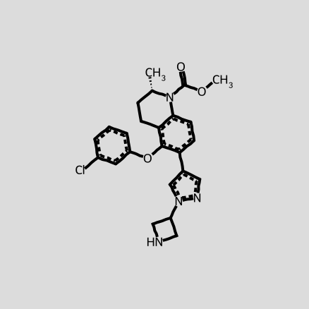 COC(=O)N1c2ccc(-c3cnn(C4CNC4)c3)c(Oc3cccc(Cl)c3)c2CC[C@@H]1C